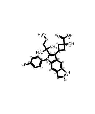 COCC(C)(C)c1c(C2CC(O)(C(=O)O)C2)c2cc3[nH]ncc3cc2n1-c1ccc(F)cc1